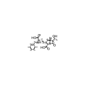 CC(O)[C@H]1C(=O)N2C(C(=O)O)=C(SC[C@H](NCc3ccccc3)C(=O)O)S[C@H]12